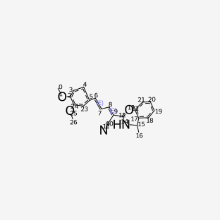 COc1ccc(/C=C/C=C(\C#N)C(=O)NC(C)c2ccccc2)cc1OC